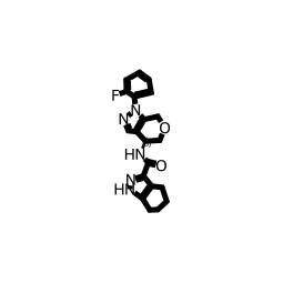 O=C(N[C@@H]1COCc2c1cnn2-c1ccccc1F)c1n[nH]c2c1CCCC2